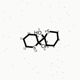 OC1(C2(O)CCCCS2)CCCCS1